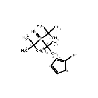 CC(C)(C)P(=N)(C(C)(C)C)C(C)(C)C.[Ti][C]1=CC=CC1